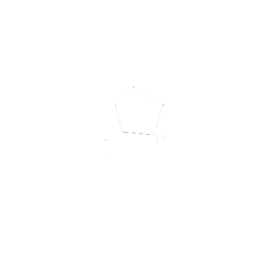 C1CCOC1.F.F.F